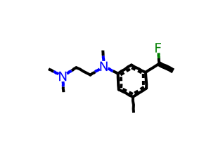 C=C(F)c1cc(C)cc(N(C)CCN(C)C)c1